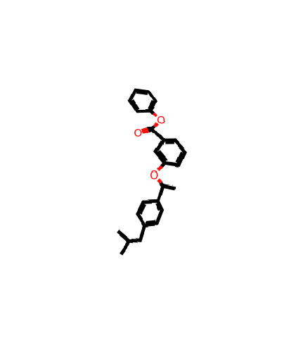 CC(C)Cc1ccc(C(C)Oc2cccc(C(=O)Oc3ccccc3)c2)cc1